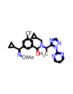 CO/N=C(\c1cc(C(=O)N(CC2CC2)C(C)c2ncnn2-c2ncccn2)cc(C(F)(F)F)c1)C1CC1